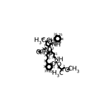 COC[C@@H](C)COC(=O)NCCCC[C@](CC(C)C)(C(=O)Nc1ccccc1)N(C[PH2]=O)C(=O)CCCc1ccccc1